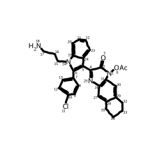 CC(=O)On1c(=O)c(-c2c(-c3ccc(Cl)cc3)n(CCCN)c3ccccc23)nc2cc3c(cc21)CCCC3